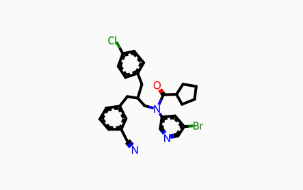 N#Cc1cccc(CC(Cc2ccc(Cl)cc2)CN(C(=O)C2CCCC2)c2cncc(Br)c2)c1